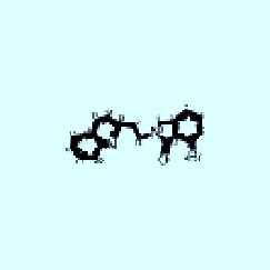 O=C1c2c(Br)cccc2CN1CCc1ccc2ccccc2n1